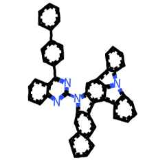 c1ccc(-c2ccc(-c3nc(-n4c5cc6ccccc6cc5c5c6c7ccccc7n7c8ccccc8c(cc54)c67)nc4ccccc34)cc2)cc1